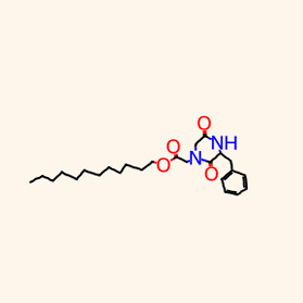 CCCCCCCCCCCCOC(=O)CN1CC(=O)NC(Cc2ccccc2)C1=O